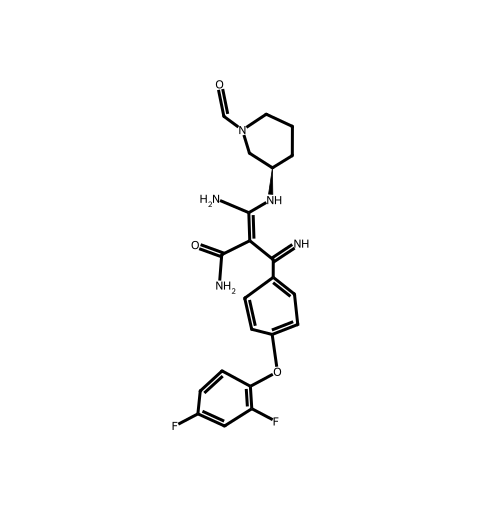 N=C(/C(C(N)=O)=C(/N)N[C@@H]1CCCN(C=O)C1)c1ccc(Oc2ccc(F)cc2F)cc1